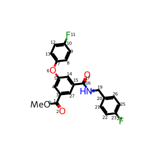 COC(=O)c1cc(Oc2ccc(F)cc2)cc(C(=O)NCc2ccc(F)cc2)c1